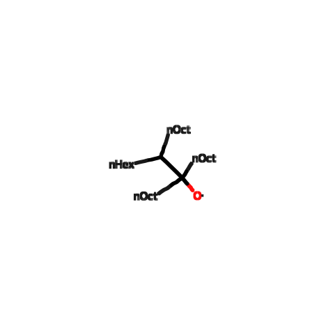 CCCCCCCCC(CCCCCC)C([O])(CCCCCCCC)CCCCCCCC